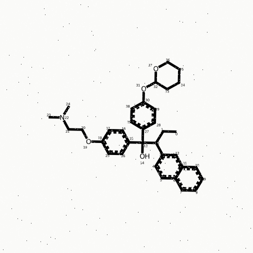 CCC(c1ccc2ccccc2c1)C(O)(c1ccc(OCCN(C)C)cc1)c1ccc(OC2CCCCO2)cc1